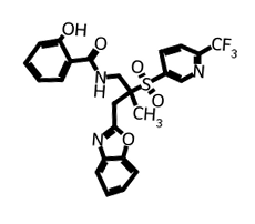 CC(CNC(=O)c1ccccc1O)(Cc1nc2ccccc2o1)S(=O)(=O)c1ccc(C(F)(F)F)nc1